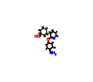 Nc1ccc(Oc2ncccc2[C@H]2CCC[C@H](O)C2)cc1